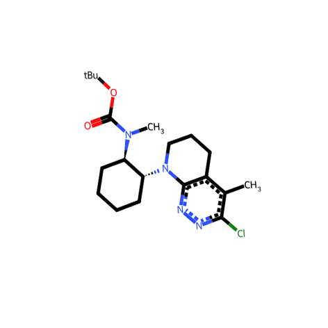 Cc1c(Cl)nnc2c1CCCN2[C@@H]1CCCC[C@H]1N(C)C(=O)OC(C)(C)C